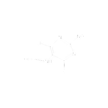 O=CNc1c(Cl)nc(N=O)nc1Cl